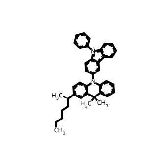 CCCCC[C@@H](C)c1ccc2c(c1)C(C)(C)c1ccccc1N2c1ccc2c(c1)c1ccccc1n2-c1ccccc1